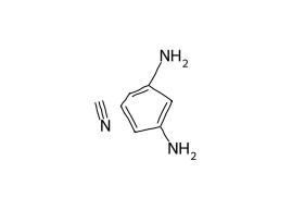 C#N.Nc1cccc(N)c1